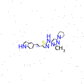 Cc1nc(Nc2ncc(/C=C/c3ccc4[nH]ccc4c3)s2)cc(N2CCCCC2)n1